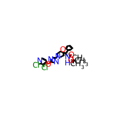 CC(C)(C)OC(=O)N[C@@H]1c2ccccc2OC12CCN(c1cnc(Oc3ccnc(Cl)c3Cl)cn1)CC2